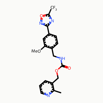 COc1cc(-c2noc(C(F)(F)F)n2)ccc1CNC(=O)OCc1cccnc1C